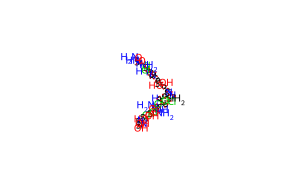 CC(C)(C)[Si](NC(N)=O)(NC(N)=O)C(C)(C)C.CC(C)N(C(C)C)[Si](C(C)C)(C(C)C)N(C(C)C)C(C)C.CC[Si](Cl)(Cl)CC.CC[Si](O)(O)CC.CN(C)[Si](C)(C)N(C)C.C[Si](C)(Cl)Cl.C[Si](C)(N1CCCC1)N1CCCC1.C[Si](C)(NC(N)=O)NC(N)=O.C[Si](C)(O)O.ClC(Cl)[SiH2]c1ccccc1.Cl[Si](Cl)(c1ccccc1)c1ccccc1.O[Si](O)(c1ccccc1)c1ccccc1